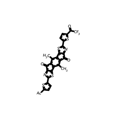 CC(=O)c1ccc(-c2nc3c(=O)c4c(C)c5c(c(C)c4c3s2)c(=O)c2nc(-c3ccc(C(=O)C(F)(F)F)s3)sc25)s1